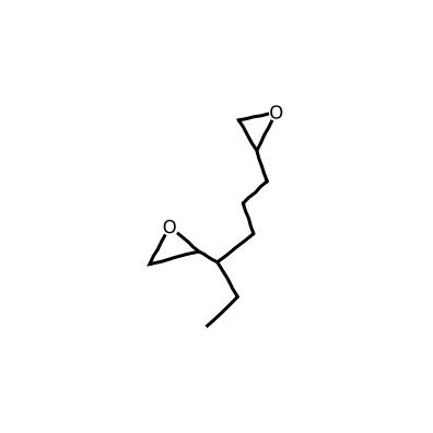 CCC(CCCC1CO1)C1CO1